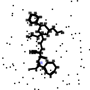 C=C(/C=C(/CC)C1=CC=CCC=C1)C(=N)CCCC1(CCC)CC(CCC)CC(c2ccccc2)C1